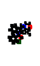 Cc1c(CN2CCOCC2)c2ccccc2n1C(=O)c1ccccc1Cl